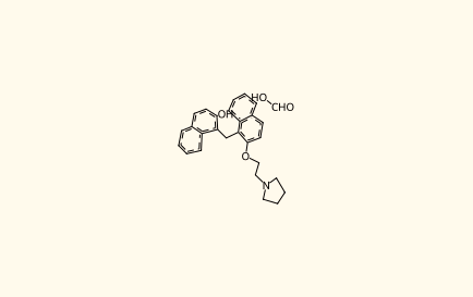 O=CO.Oc1ccc2ccccc2c1Cc1c(OCCN2CCCC2)ccc2ccccc12